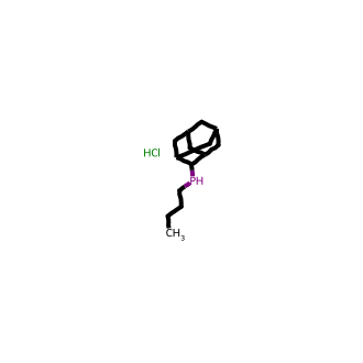 CCCCPC1C2CC3CC(C2)CC1C3.Cl